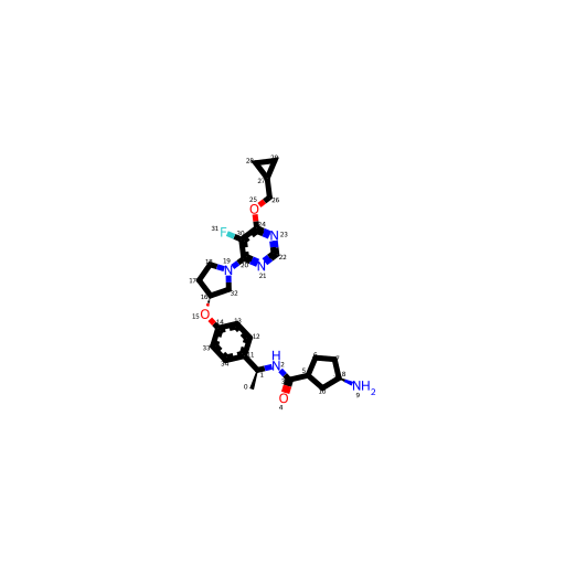 C[C@H](NC(=O)C1CC[C@@H](N)C1)c1ccc(O[C@@H]2CCN(c3ncnc(OCC4CC4)c3F)C2)cc1